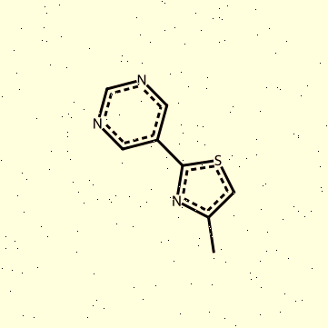 Cc1csc(-c2cncnc2)n1